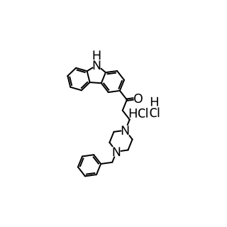 Cl.Cl.O=C(CCN1CCN(Cc2ccccc2)CC1)c1ccc2[nH]c3ccccc3c2c1